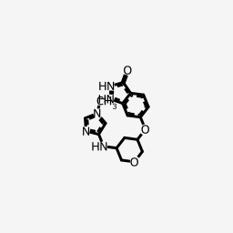 Cn1cnc(NC2COCC(Oc3ccc4c(=O)[nH][nH]c4c3)C2)c1